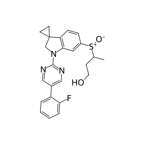 CC(CCO)[S+]([O-])c1ccc2c(c1)N(c1ncc(-c3ccccc3F)cn1)CC21CC1